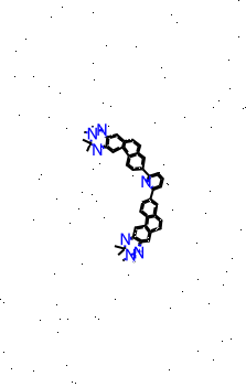 CC1(C)N=c2cc3c(ccc4cc(-c5cccc(-c6ccc7c(ccc8cc9c(cc87)=NC(C)(C)[N+](C)(C)N=9)c6)n5)ccc43)cc2=N[N+]1(C)C